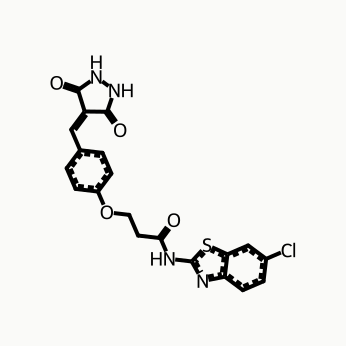 O=C(CCOc1ccc(C=C2C(=O)NNC2=O)cc1)Nc1nc2ccc(Cl)cc2s1